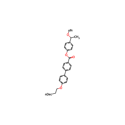 CCCCCCCCCCCCOc1ccc(-c2ccc(C(=O)Oc3ccc(C(C)OCCC)cc3)cc2)cc1